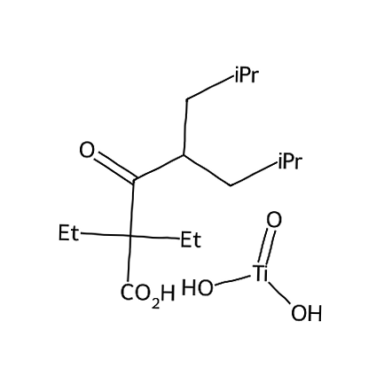 CCC(CC)(C(=O)O)C(=O)C(CC(C)C)CC(C)C.[O]=[Ti]([OH])[OH]